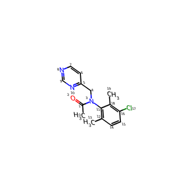 CC(=O)N(Cc1ccncn1)c1c(C)ccc(Cl)c1C